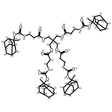 CC1(OC(=O)SCCC(=O)OCC(COC(=O)CCSC(=O)OC2(C)C3CC4CC(C3)CC2C4)(COC(=O)CCSC(=O)OC2(C)C3CC4CC(C3)CC2C4)COC(=O)CCSC(=O)OC2(C)C3CC4CC(C3)CC2C4)C2CC3CC(C2)CC1C3